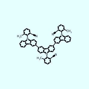 Cc1cccc(C#N)c1-n1c2ccccc2c2cc(-c3ccc4c(c3)c3cc(-c5ccc6c(c5)c5ccccc5n6-c5c(C)cccc5C#N)ccc3n4-c3c(C)cccc3C#N)ccc21